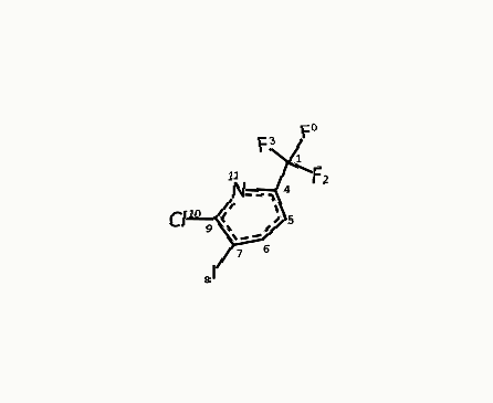 FC(F)(F)c1ccc(I)c(Cl)n1